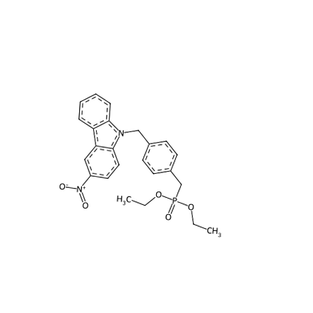 CCOP(=O)(Cc1ccc(Cn2c3ccccc3c3cc([N+](=O)[O-])ccc32)cc1)OCC